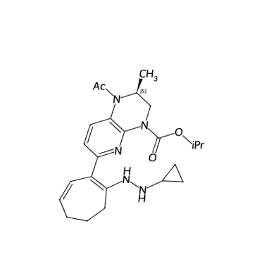 CC(=O)N1c2ccc(C3=C(NNC4CC4)CCCC=C3)nc2N(C(=O)OC(C)C)C[C@@H]1C